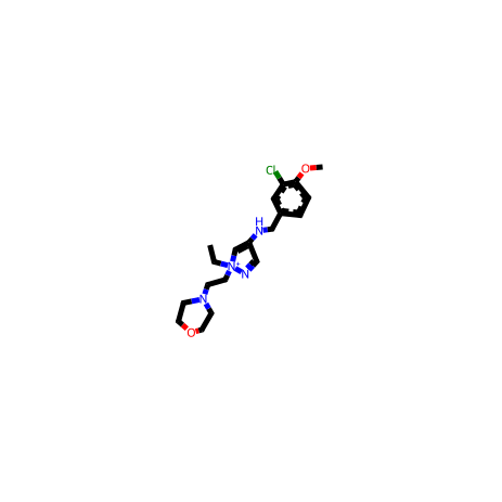 CC[N+]1(CCN2CCOCC2)C=C(NCc2ccc(OC)c(Cl)c2)C=N1